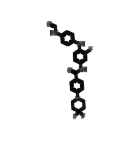 O=CNc1ccc(Nc2ccc(NC(=O)c3ccc(N4CCC(F)(F)CC4)cc3)cc2F)cc1